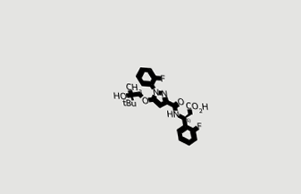 CC(C)(C)[C@](C)(O)COc1cc(C(=O)N[C@@H](CC(=O)O)c2ccccc2F)nn1-c1ccccc1F